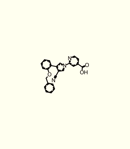 N#Cc1cn(-c2cc(C(=O)O)ccn2)cc1-c1ccccc1OCc1ccccc1